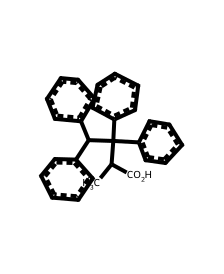 CC(C(=O)O)C(c1ccccc1)(c1ccccc1)C(c1ccccc1)c1ccccc1